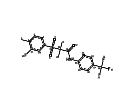 Cc1ccc(S(=O)(=O)C(C)(C)C(=O)Nc2ccc(C(F)(F)F)cn2)cc1F